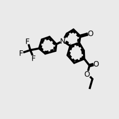 CCOC(=O)c1ccc2c(c1)c(=O)ccn2-c1ccc(C(F)(F)F)cc1